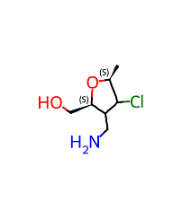 C[C@@H]1O[C@H](CO)C(CN)C1Cl